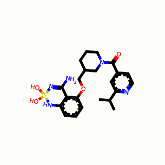 CC(C)c1cc(C(=O)N2CCCC(COc3cccc4c3C(N)=NS(O)(O)N4)C2)ccn1